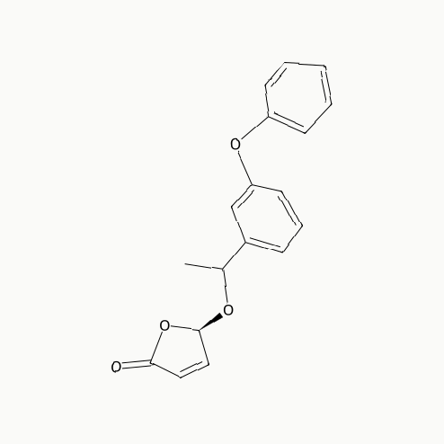 CC(O[C@H]1C=CC(=O)O1)c1cccc(Oc2ccccc2)c1